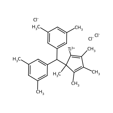 CC1=C(C)C(C)(C(c2cc(C)cc(C)c2)c2cc(C)cc(C)c2)[C]([Ti+3])=C1C.[Cl-].[Cl-].[Cl-]